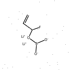 C=CC(F)OB([O-])[O-].[Li+].[Li+]